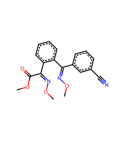 CON=C(C(=O)OC)c1ccccc1C(=NOC)c1cccc(C#N)c1